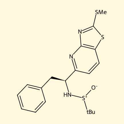 CSc1nc2nc([C@H](Cc3ccccc3)N[S+]([O-])C(C)(C)C)ccc2s1